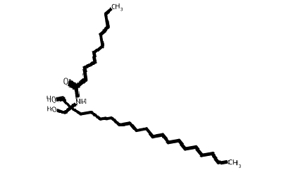 CCCCCCCCCCCCCCCCCCC(CO)(CO)NC(=O)CCCCCCCCC